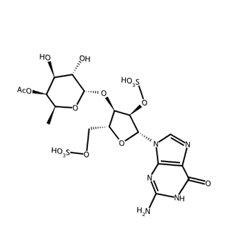 CC(=O)O[C@H]1[C@@H](O)[C@H](O)[C@H](O[C@H]2[C@@H](OS(=O)(=O)O)[C@H](n3cnc4c(=O)[nH]c(N)nc43)O[C@@H]2COS(=O)(=O)O)O[C@H]1C